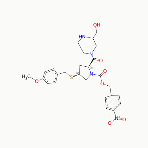 COc1ccc(CS[C@H]2C[C@@H](C(=O)N3CCNC(CO)C3)N(C(=O)OCc3ccc([N+](=O)[O-])cc3)C2)cc1